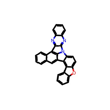 c1ccc2c(c1)cc1c3c4c(ccc3n3c5nc6ccccc6nc5c2c13)oc1ccccc14